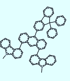 Cn1c2ccccc2c2c(-c3cccc4c(-c5ccc6c(c5)C(c5ccccc5)(c5ccccc5)c5ccccc5-6)c5cccc(-c6cccc7c6c6ccccc6n7C)c5cc34)cccc21